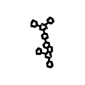 c1ccc(-c2cc(-c3ccc(-c4ccc5c(ccc6nc(-c7ccccc7)cc(-c7ccccc7)c65)c4)cc3)nc(-c3ccccc3)n2)cc1